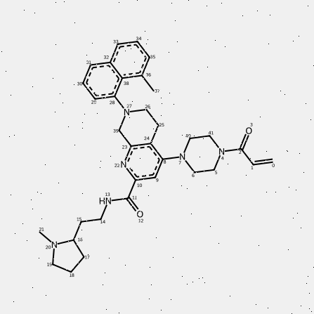 C=CC(=O)N1CCN(c2cc(C(=O)NCCC3CCCN3C)nc3c2CCN(c2cccc4cccc(C)c24)C3)CC1